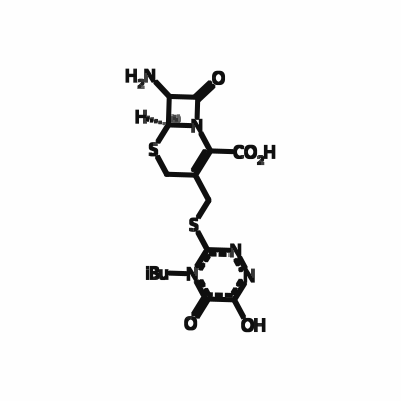 CCC(C)n1c(SCC2=C(C(=O)O)N3C(=O)C(N)[C@@H]3SC2)nnc(O)c1=O